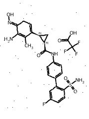 CC1=C(N)C(=NO)CC=C1[C@H]1C[C@H]1C(=O)Nc1ccc(-c2cc(F)ccc2S(N)(=O)=O)cc1.O=C(O)C(F)(F)F